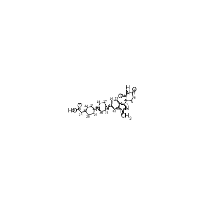 Cn1nc(C2CCC(=O)NC2=O)c2ccc(N3CCN([C@H]4CC[C@H](CC(=O)O)CC4)CC3)cc21